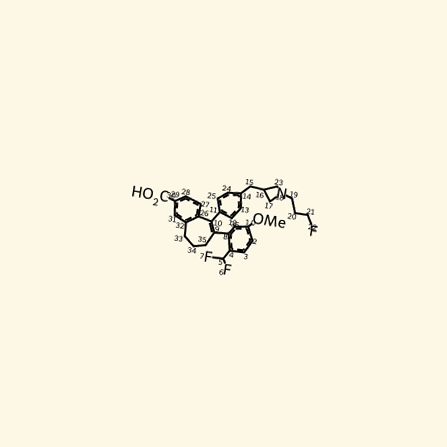 COc1ccc(C(F)F)c(C2=C(c3ccc(CC4CN(CCCF)C4)cc3)c3ccc(C(=O)O)cc3CCC2)c1